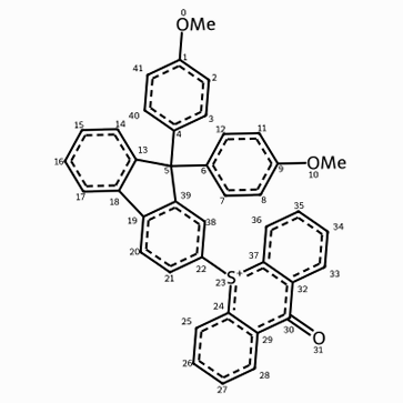 COc1ccc(C2(c3ccc(OC)cc3)c3ccccc3-c3ccc(-[s+]4c5ccccc5c(=O)c5ccccc54)cc32)cc1